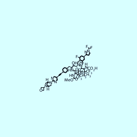 COC(=O)N[C@H](C(=O)N[C@@H](Cc1ccc(C#Cc2cnc(N3C[C@H]4C[C@@H]3CN4C3COC3)nc2)cc1)[C@@H](O)CN(Cc1c(F)cc(-c2ccn(C(F)F)n2)cc1F)NC(=O)[C@@H](NC(=O)O)C(C)(C)C(F)(F)F)C(C)(C)C(F)(F)F